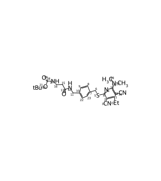 CCc1c(C#N)c(SCc2ccc(CNC(=O)CCNC(=O)OC(C)(C)C)cc2)nc(N(C)C)c1C#N